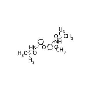 COc1ccc(Oc2ccccc2CNC(=O)CC(C)C)cc1CNC(=O)CC(C)C